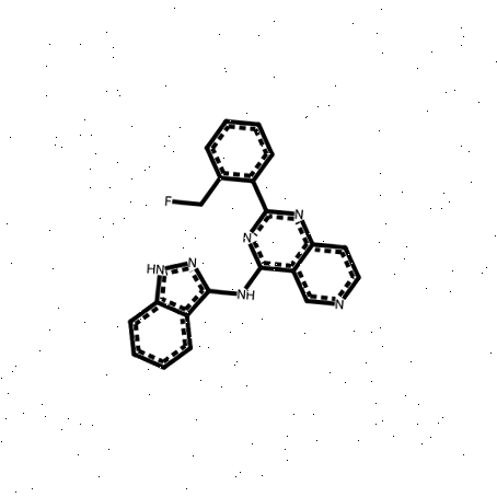 FCc1ccccc1-c1nc(Nc2n[nH]c3ccccc23)c2cnccc2n1